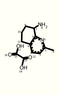 Cc1ccc2c(n1)C(N)CCC2.O=C(O)C(=O)O